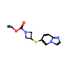 CC(C)(C)OC(=O)N1CC(Sc2ccc3nccn3c2)C1